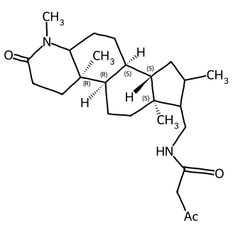 CC(=O)CC(=O)NCC1C(C)C[C@H]2[C@@H]3CCC4N(C)C(=O)CC[C@]4(C)[C@@H]3CC[C@]12C